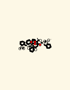 C[C@@H](OC(=O)OCc1ccccc1[N+](=O)[O-])C1C(=O)N(CP(C(=O)OCc2ccccc2[N+](=O)[O-])(c2ccccc2)(c2ccccc2)c2ccccc2)C1(C)CC(=O)Cl